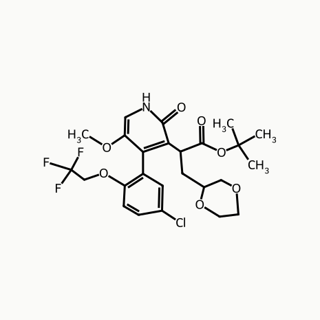 COc1c[nH]c(=O)c(C(CC2COCCO2)C(=O)OC(C)(C)C)c1-c1cc(Cl)ccc1OCC(F)(F)F